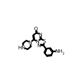 Nc1cccc(-c2nn3c(N4CCNCC4)cc(=O)nc3s2)c1